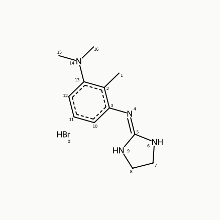 Br.Cc1c(N=C2NCCN2)cccc1N(C)C